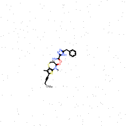 COCC#Cc1sc2c(c1C)SC[C@H](NC(=O)c1nnc(Cc3ccccc3)[nH]1)C(=O)N2C